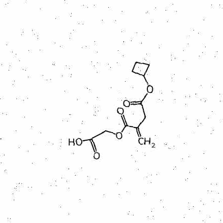 C=C(CC(=O)OC1CCC1)C(=O)OCC(=O)O